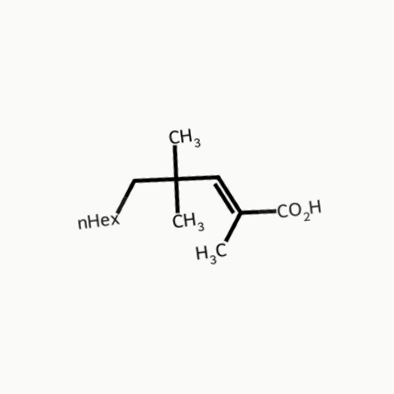 CCCCCCCC(C)(C)C=C(C)C(=O)O